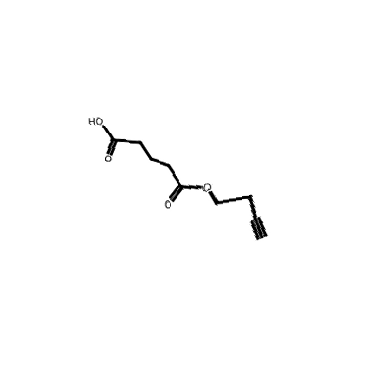 C#CCCOC(=O)CCCC(=O)O